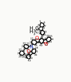 CC1(C)c2ccccc2-c2ccc(-c3c4oc5ccc(N(c6cccc(-c7ccccc7)c6)c6cccc7c6oc6ccccc67)cc5c4cc4oc5ccccc5c34)cc21